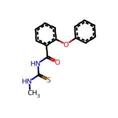 CNC(=S)NC(=O)c1ccccc1Oc1ccccc1